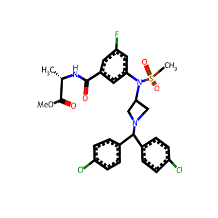 COC(=O)[C@H](C)NC(=O)c1cc(F)cc(N(C2CN(C(c3ccc(Cl)cc3)c3ccc(Cl)cc3)C2)S(C)(=O)=O)c1